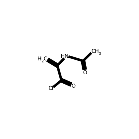 C=C(NC(C)=O)C(=O)Cl